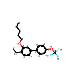 CCCCCOc1cc(-c2ccc(OC(F)(F)F)cc2)ccc1CC